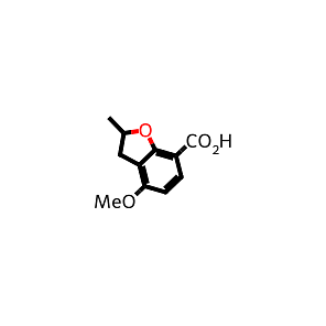 COc1ccc(C(=O)O)c2c1CC(C)O2